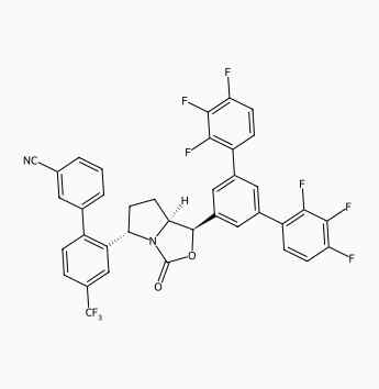 N#Cc1cccc(-c2ccc(C(F)(F)F)cc2[C@@H]2CC[C@H]3[C@@H](c4cc(-c5ccc(F)c(F)c5F)cc(-c5ccc(F)c(F)c5F)c4)OC(=O)N23)c1